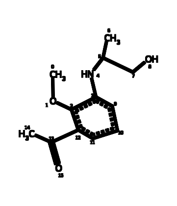 COc1c(NC(C)CO)cccc1C(C)=O